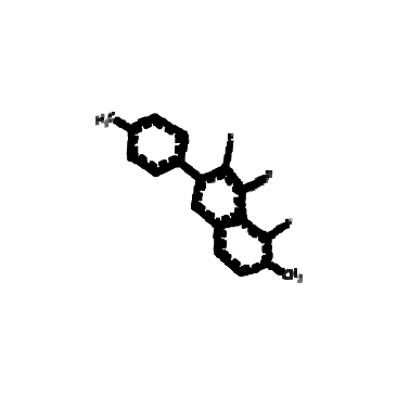 Cc1ccc(-c2cc3ccc(C)c(F)c3c(F)c2F)cc1